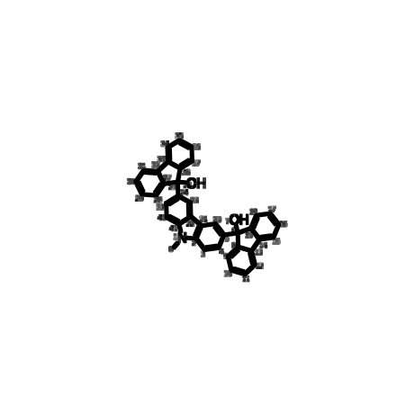 Cn1c2ccc(C3(O)c4ccccc4-c4ccccc43)cc2c2cc(C3(O)c4ccccc4-c4ccccc43)ccc21